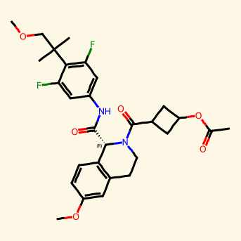 COCC(C)(C)c1c(F)cc(NC(=O)[C@H]2c3ccc(OC)cc3CCN2C(=O)C2CC(OC(C)=O)C2)cc1F